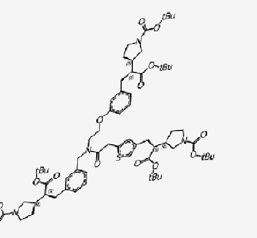 CC(C)(C)OC(=O)[C@@H](Cc1cccc(CN(CCOc2cccc(C[C@H](C(=O)OC(C)(C)C)[C@H]3CCN(C(=O)OC(C)(C)C)C3)c2)C(=O)Cc2cc(C[C@H](C(=O)OC(C)(C)C)[C@H]3CCN(C(=O)OC(C)(C)C)C3)cs2)c1)[C@H]1CCN(C(=O)OC(C)(C)C)C1